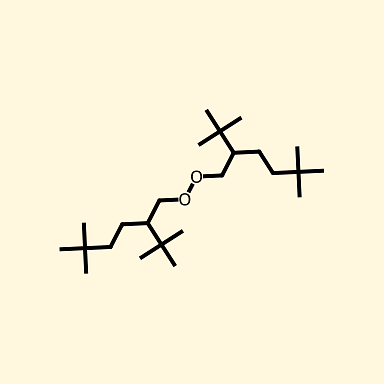 CC(C)(C)CCC(COOCC(CCC(C)(C)C)C(C)(C)C)C(C)(C)C